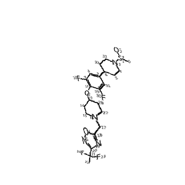 C[S+]([O-])N1CCC(c2cc(F)c(OC3CCN(Cc4nc(C(C)(F)F)no4)CC3)c(F)c2)CC1